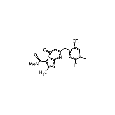 CNC(=O)c1c(C)sc2nc(Cc3cc(F)c(F)cc3C(F)(F)F)cc(=O)n12